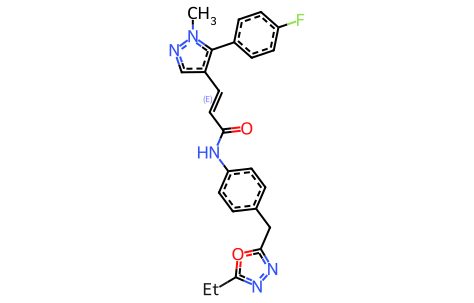 CCc1nnc(Cc2ccc(NC(=O)/C=C/c3cnn(C)c3-c3ccc(F)cc3)cc2)o1